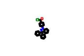 O=C(Cl)c1ccc(N=NC(c2ccccc2)(c2ccccc2)c2ccccc2)cc1